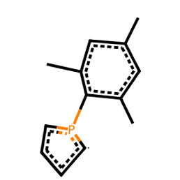 Cc1cc(C)c(-p2[c]ccc2)c(C)c1